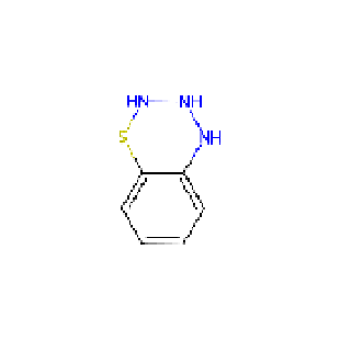 c1ccc2s[nH][nH][nH]c2c1